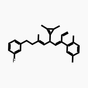 C=C/C(=C\C(/C=C(\C)CCc1cccc(F)c1)C1=C(C)C1C)c1cc(C)ccc1C